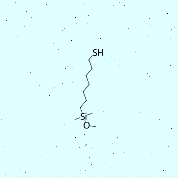 CO[Si](C)(C)CCCCCCCS